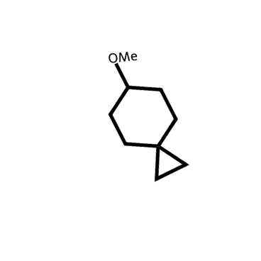 COC1CCC2(CC1)CC2